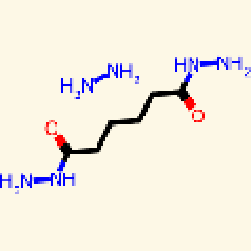 NN.NNC(=O)CCCCC(=O)NN